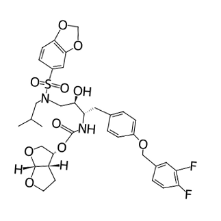 CC(C)CN(C[C@@H](O)[C@H](Cc1ccc(OCc2ccc(F)c(F)c2)cc1)NC(=O)O[C@H]1CO[C@H]2OCC[C@H]21)S(=O)(=O)c1ccc2c(c1)OCO2